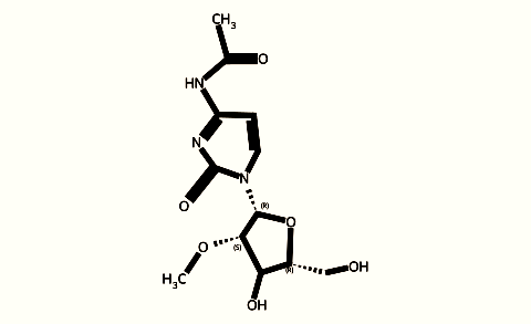 CO[C@H]1C(O)[C@@H](CO)O[C@H]1n1ccc(NC(C)=O)nc1=O